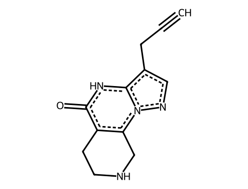 C#CCc1cnn2c3c(c(=O)[nH]c12)CCNC3